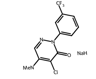 CNc1cnn(-c2cccc(C(F)(F)F)c2)c(=O)c1Cl.[NaH]